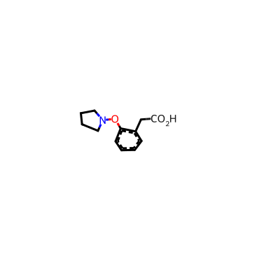 O=C(O)Cc1ccccc1ON1CCCC1